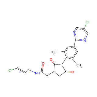 Cc1cc(-c2ncc(Cl)cn2)cc(C)c1C1C(=O)CC(CC(=O)NC/C=C/Cl)C1=O